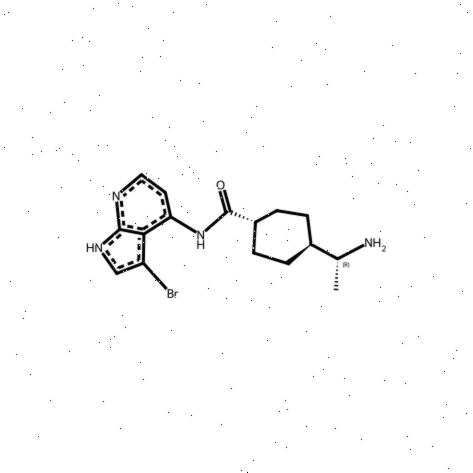 C[C@@H](N)[C@H]1CC[C@H](C(=O)Nc2ccnc3[nH]cc(Br)c23)CC1